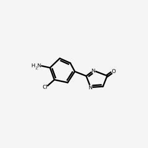 Nc1ccc(C2=NC(=O)C=N2)cc1Cl